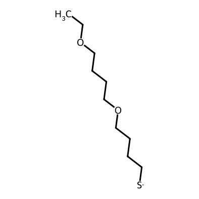 CCOCCCCOCCCC[S]